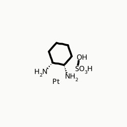 N[C@@H]1CCCC[C@@H]1N.O=S(=O)(O)O.[Pt]